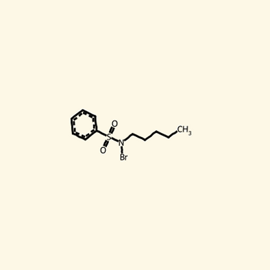 CCCCCN(Br)S(=O)(=O)c1ccccc1